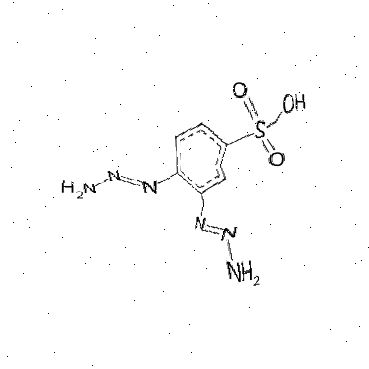 NN=Nc1ccc(S(=O)(=O)O)cc1N=NN